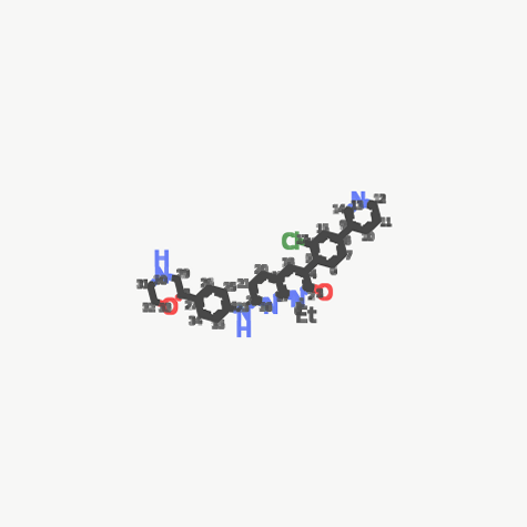 CCn1c(=O)c(-c2ccc(-c3cccnc3)cc2Cl)cc2ccc(Nc3ccc(C4CNCCO4)cc3)nc21